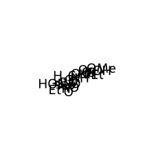 CCc1c2c(nc3ccc(O)cc13)-c1cc3c(c(=O)n1C2)COC(=O)[C@@]3(CC)OC(=O)[C@@H](C)NC(=O)CCNC(=O)OCC(OC)OC(CC)CO